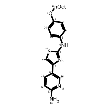 CCCCCCCCOc1ccc(Nc2nc(-c3ccc(N)nc3)cs2)cc1